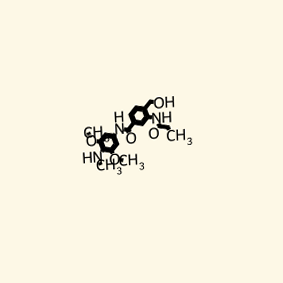 CCC(=O)Nc1cc(C(=O)Nc2cc(OC)c(NC)c(OC)c2)ccc1CO